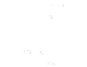 CC(C)(C)N1NCC2=C1CCN(C(=O)O)C2